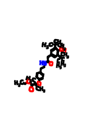 CCOC(=O)C(C)(C)Oc1ccc(CCNC(=O)Cc2cc(C(C)(C)C)c(O)c(C(C)(C)C)c2)cc1